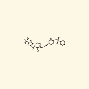 Cn1c2nc(S(C)(=O)=O)sc2c2cnn(CC#Cc3ccc(CS(=O)(=O)c4ccccc4)nc3)c(=O)c21